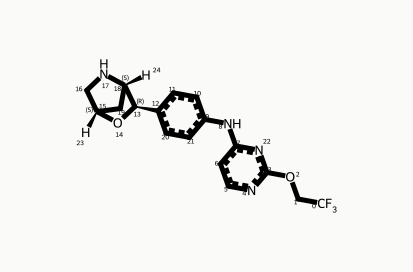 FC(F)(F)COc1nccc(Nc2ccc([C@H]3O[C@@H]4CN[C@H]3C4)cc2)n1